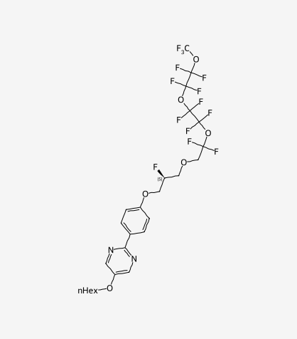 CCCCCCOc1cnc(-c2ccc(OC[C@@H](F)COCC(F)(F)OC(F)(F)C(F)(F)OC(F)(F)C(F)(F)OC(F)(F)F)cc2)nc1